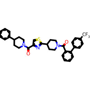 O=C(c1csc(C2CCN(C(=O)c3ccccc3-c3ccc(C(F)(F)F)cc3)CC2)n1)N1CCC(c2ccccc2)CC1